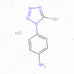 Cl.Nc1ccc(-n2nnnc2S)cc1